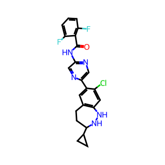 O=C(Nc1cnc(-c2cc3c(cc2Cl)NNC(C2CC2)CC3)cn1)c1c(F)cccc1F